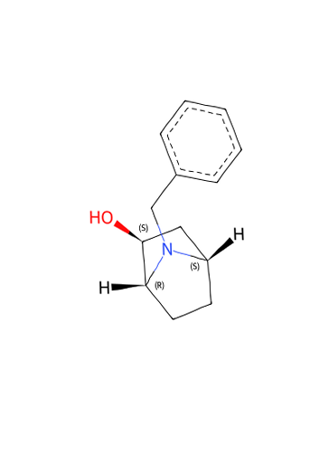 O[C@H]1C[C@@H]2CC[C@H]1N2Cc1ccccc1